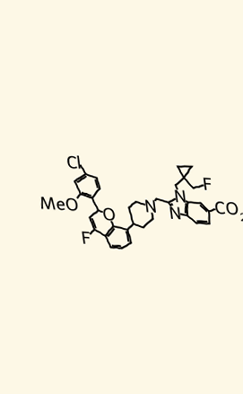 COc1cc(Cl)ccc1C1C=C(F)c2cccc(C3CCN(Cc4nc5ccc(C(=O)O)cc5n4CC4(CF)CC4)CC3)c2O1